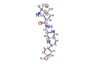 COc1ccc(-c2ccc3cnc(CNC(=O)c4ccc5c(c4)[C@](C)(C#N)COC5)cc3n2)cc1